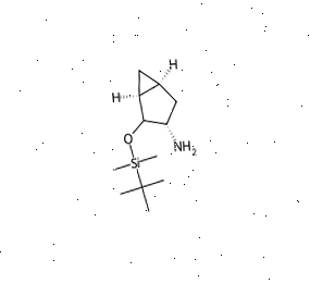 CC(C)(C)[Si](C)(C)OC1[C@H]2C[C@H]2C[C@@H]1N